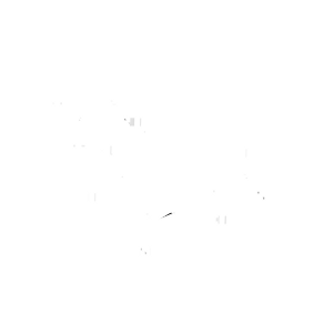 CC(=O)Cl.C[C@H](N)C(=O)O.C[C@H](N)C(=O)O.O=C(O)[C@@H]1CCCN1